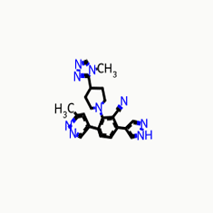 Cc1cc(-c2ccc(-c3cn[nH]c3)c(C#N)c2N2CCC(c3nncn3C)CC2)cnn1